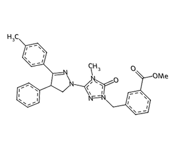 COC(=O)c1cccc(Cn2nc(N3CC(c4ccccc4)C(c4ccc(C)cc4)=N3)n(C)c2=O)c1